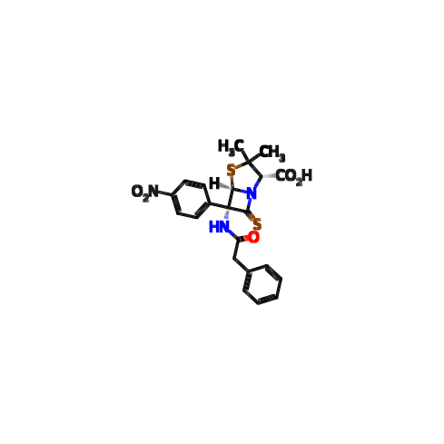 CC1(C)S[C@H]2N(C(=S)[C@@]2(NC(=O)Cc2ccccc2)c2ccc([N+](=O)[O-])cc2)[C@H]1C(=O)O